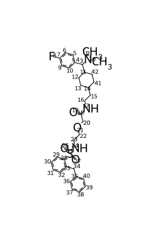 CN(C)C(c1ccc(F)cc1)C1CCC(CCNC(=O)COCCNS(=O)(=O)c2ccccc2Cc2ccccc2)CC1